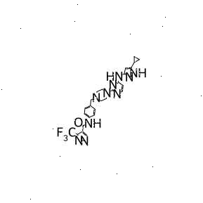 Cn1cc(C(=O)Nc2ccc(CN3CCN(c4nccc(Nc5cc(C6CC6)[nH]n5)n4)CC3)cc2)c(C(F)(F)F)n1